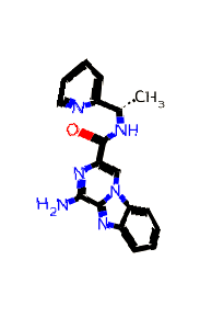 C[C@H](NC(=O)c1cn2c(nc3ccccc32)c(N)n1)c1ccccn1